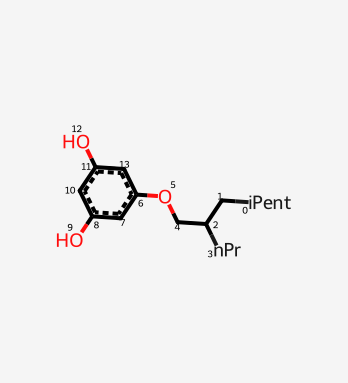 CCCC(C)CC(CCC)COc1cc(O)cc(O)c1